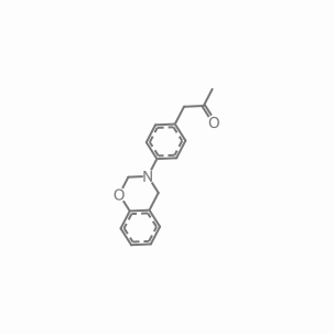 CC(=O)Cc1ccc(N2COc3ccccc3C2)cc1